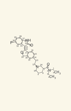 CCN(CC)C(=O)C1CCCN(CCc2ccc3c(c2)COC3=C2C(=O)Nc3ccc(F)cc32)C1